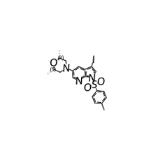 Cc1ccc(S(=O)(=O)n2cc(I)c3cc(N4C[C@@H](C)O[C@@H](C)C4)cnc32)cc1